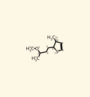 COC(C)CCC1SC=CC1C